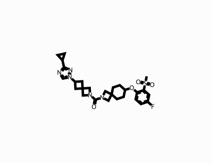 CS(=O)(=O)c1cc(F)ccc1OC1CCC2(CC1)CN(C(=O)N1CC3(CC(n4cnc(C5CC5)n4)C3)C1)C2